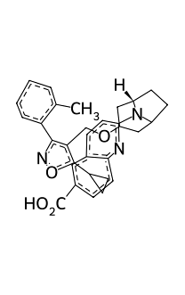 Cc1ccccc1-c1noc(C2CC2)c1COC1CC2CC[C@@H](C1)N2c1ccc2cc(C(=O)O)ccc2n1